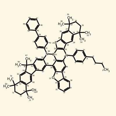 CCCCc1ccc(N2c3cc4c(oc5ccccc54)c4c3B(c3sc5cc6c(cc5c32)C(C)(C)CCC6(C)C)N(c2ccc(-c3ccccc3)cc2)c2cc3c(cc2-4)-c2cc4c(cc2C3(C)C)C(C)(C)CCC4(C)C)cc1